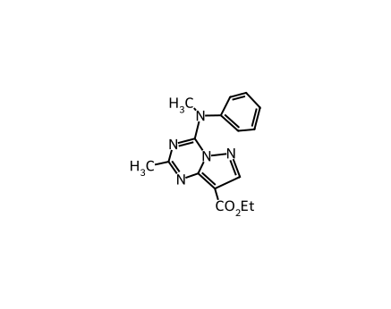 CCOC(=O)c1cnn2c(N(C)c3ccccc3)nc(C)nc12